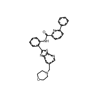 O=C(Nc1ccccc1-c1nc2cc(CN3CCOCC3)cnc2s1)c1cccc(-c2ccccc2)n1